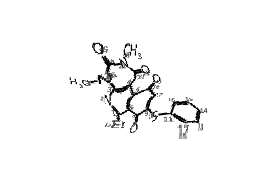 CCc1nc2c(c3c1C(=O)C(Sc1ccccc1)=CC3=O)c(=O)n(C)c(=O)n2C